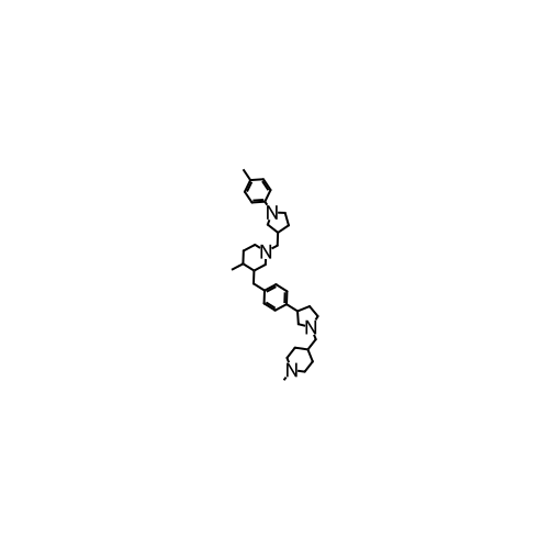 Cc1ccc(N2CCC(CN3CCC(C)C(Cc4ccc(C5CCN(CC6CCN(C)CC6)C5)cc4)C3)C2)cc1